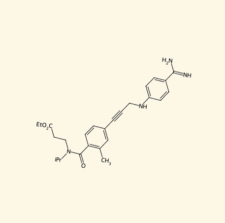 CCOC(=O)CCN(C(=O)c1ccc(C#CCNc2ccc(C(=N)N)cc2)cc1C)C(C)C